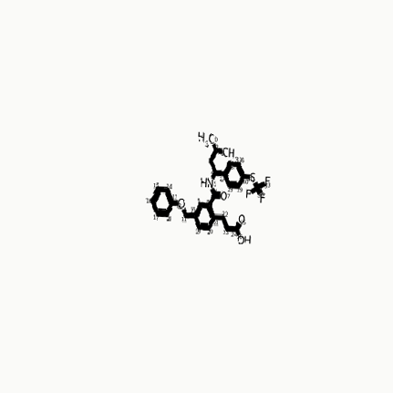 CC(C)CC(NC(=O)c1cc(COc2ccccc2)ccc1CCC(=O)O)c1ccc(SC(F)(F)F)cc1